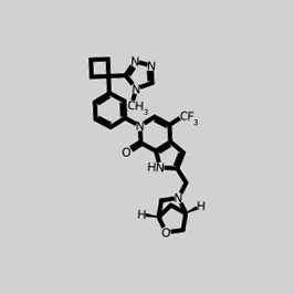 Cn1cnnc1C1(c2cccc(-n3cc(C(F)(F)F)c4cc(CN5C[C@@H]6C[C@H]5CO6)[nH]c4c3=O)c2)CCC1